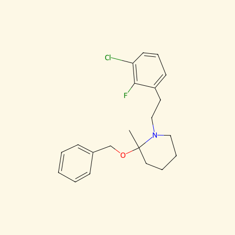 CC1(OCc2ccccc2)CCCCN1CCc1cccc(Cl)c1F